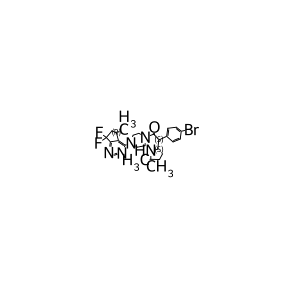 C[C@@H]1CC(F)(F)c2ncnc(N3CCN(C(=O)[C@@H](c4ccc(Br)cc4)[C@@H]4CCC(C)(C)N4)CC3)c21